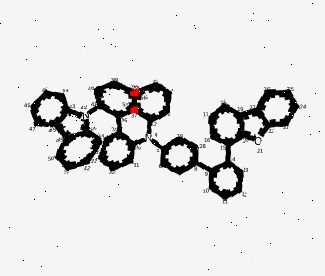 c1ccc(N(c2ccc(-c3ccccc3-c3cccc4c3oc3ccccc34)cc2)c2ccccc2-c2ccccc2-n2c3ccccc3c3ccccc32)cc1